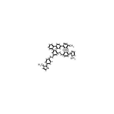 COc1cc(-c2ccc(-c3ccccc3-c3cc(CCc4ccc(-c5nccn5C)cc4)cc(CCc4ccc(-c5nccn5C)cc4)c3)cc2)ncc1C